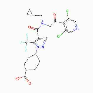 O=C(CN(CC1CC1)C(=O)c1cnn(C2CCC(C(=O)O)CC2)c1C(F)(F)F)c1c(Cl)cncc1Cl